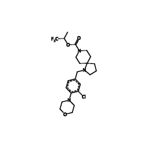 CC(OC(=O)N1CCC2(CCCN2Cc2ccc(N3CCOCC3)c(Cl)c2)CC1)C(F)(F)F